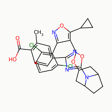 Cc1cc(-c2noc(N3C4CCC3CC(OCc3c(-c5c(Cl)cccc5Cl)noc3C3CC3)C4)n2)ccc1C(=O)O